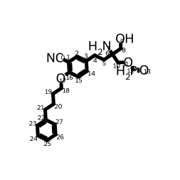 N#Cc1cc(CCC(N)(CO)CO[PH2]=O)ccc1OCCCCc1ccccc1